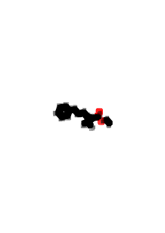 CCOC(=O)C1C(/C=C/Cc2ccccc2)C1(C)C